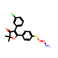 CC1(C)OC(c2ccc(SOON)cc2)=C(c2cccc(Cl)c2)C1=O